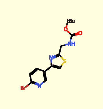 CC(C)(C)OC(=O)NCc1nc(-c2ccc(Br)nc2)cs1